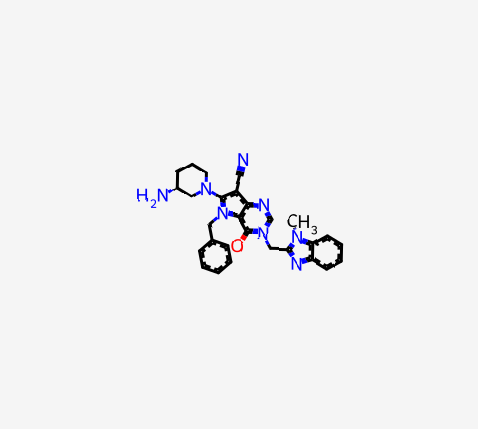 Cn1c(Cn2cnc3c(C#N)c(N4CCC[C@H](N)C4)n(Cc4ccccc4)c3c2=O)nc2ccccc21